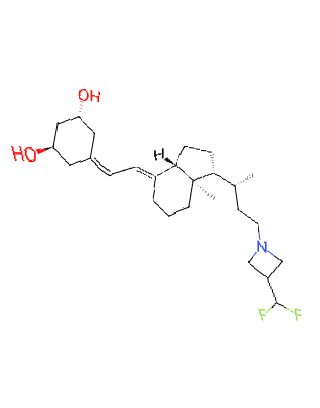 C[C@H](CCN1CC(C(F)F)C1)[C@H]1CC[C@H]2/C(=C/C=C3C[C@@H](O)C[C@H](O)C3)CCC[C@]12C